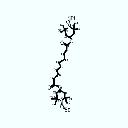 CCON1C(C)(C)CC(OC(=O)CCCCCCCCC(=O)OC2CC(C)(C)N(OCC)C(C)(C)C2)CC1(C)C